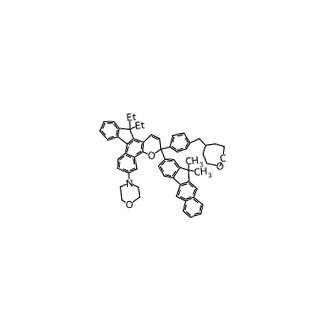 CCC1(CC)c2ccccc2-c2c1c1c(c3cc(N4CCOCC4)ccc23)OC(c2ccc(CC3CCCOCC3)cc2)(c2ccc3c(c2)C(C)(C)c2cc4ccccc4cc2-3)C=C1